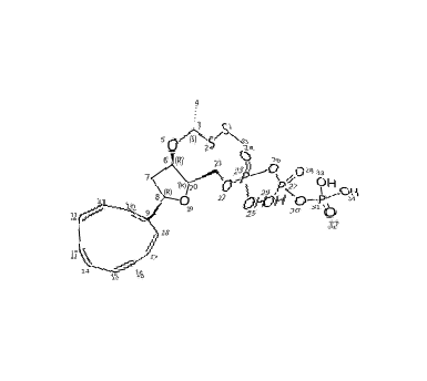 CSS[C@@H](C)O[C@@H]1C[C@H](c2ccccccccc2)O[C@@H]1COP(=O)(O)OP(=O)(O)OP(=O)(O)O